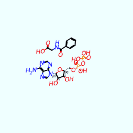 Nc1ncnc2c1ncn2[C@@H]1O[C@H](COP(=O)(O)OP(=O)(O)O)[C@@H](O)[C@H]1O.O=C(O)CNC(=O)c1ccccc1